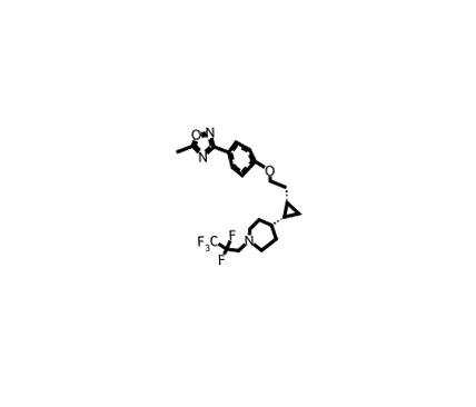 Cc1nc(-c2ccc(OCC[C@@H]3C[C@@H]3C3CCN(CC(F)(F)C(F)(F)F)CC3)cc2)no1